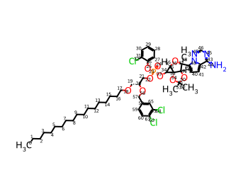 CCCCCCCCCCCCCCCCCCOC[C@H](COP(=O)(Oc1ccccc1Cl)OC1[C@H]2O[C@@](C)(c3ccc4c(N)ncnn34)[C@@H]3OC(C)(C)O[C@]123)OCc1ccc(Cl)c(Cl)c1